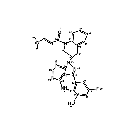 CN(C)C=CC(=O)N1CC(n2nc(-c3cc(O)cc(F)c3)c3c(N)ncnc32)Cc2ccccc21